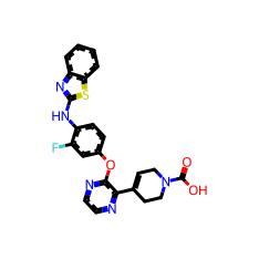 O=C(O)N1CC=C(c2nccnc2Oc2ccc(Nc3nc4ccccc4s3)c(F)c2)CC1